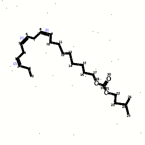 CC/C=C\C/C=C\C/C=C\CCCCCCCCOC(=O)OCCC(C)C